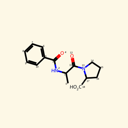 CC(NC(=O)c1ccccc1)C(=O)N1CCCC1C(=O)O